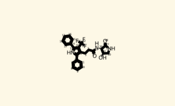 O=C(CCc1c(-c2ccccc2)[nH]c(-c2ccccc2)c1C(F)(F)F)N[C@@H]1C(=O)NC[C@H]1O